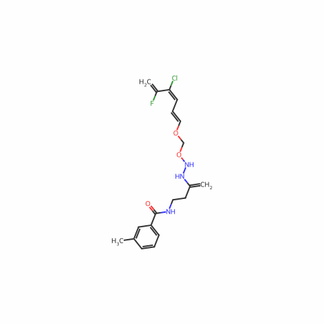 C=C(CCNC(=O)c1cccc(C)c1)NNOCO/C=C/C=C(/Cl)C(=C)F